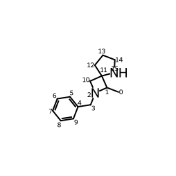 CC1N(Cc2ccccc2)CC12CCCN2